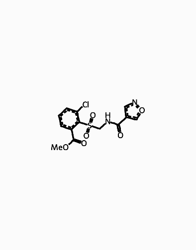 COC(=O)c1cccc(Cl)c1S(=O)(=O)CNC(=O)c1cnoc1